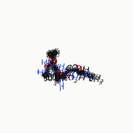 CN(C)c1ccc(/N=N/c2ccc(C(=O)NCCCC[C@H](NC(=O)CNC(=O)[C@H](CC(=O)O)NC(=O)[C@@H]3CCCN3C(=O)[C@@H](NC(=O)c3ccc(NC(=O)CNC(=O)[C@H](CCC(=O)NCCNc4cccc5c(S(=O)(=O)O)cccc45)NC(=O)OCC4c5ccccc5-c5ccccc54)c(Cl)c3)C(C)(C)C)C(=O)O)cc2)cc1